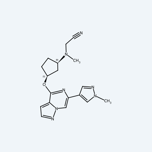 CN(CC#N)[C@@H]1CC[C@H](Oc2nc(-c3cnn(C)c3)cn3nccc23)C1